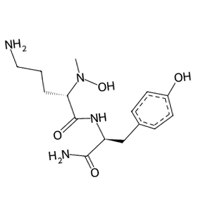 CN(O)[C@@H](CCCN)C(=O)N[C@@H](Cc1ccc(O)cc1)C(N)=O